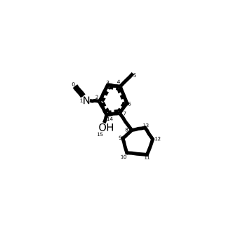 C=Nc1cc(C)cc(C2CCCCC2)c1O